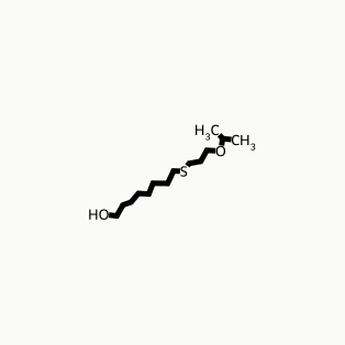 CC(C)OCCCSCCCCCCCCO